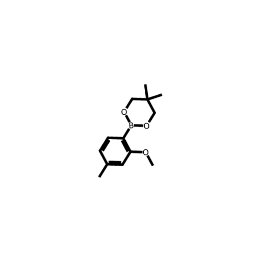 COc1cc(C)ccc1B1OCC(C)(C)CO1